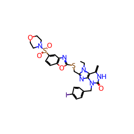 C=C1NC(=O)N(Cc2ccc(I)cc2)c2nc(CSc3nc4cc(S(=O)(=O)N5CCOCC5)ccc4o3)n(CC)c21